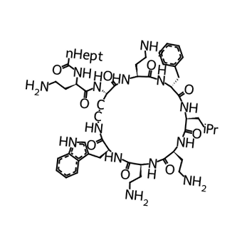 CCCCCCCC(=O)N[C@H](CCN)C(=O)N[C@H]1CCNC(=O)[C@H](Cc2c[nH]c3ccccc23)NC(=O)[C@H](CCN)NC(=O)[C@H](CCN)NC(=O)[C@H](CC(C)C)NC(=O)[C@@H](Cc2ccccc2)NC(=O)[C@H](CCN)NC1=O